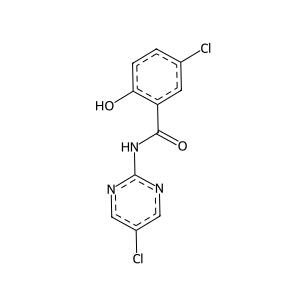 O=C(Nc1ncc(Cl)cn1)c1cc(Cl)ccc1O